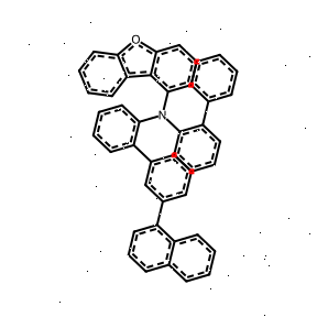 c1ccc(-c2ccccc2N(c2ccccc2-c2cccc(-c3cccc4ccccc34)c2)c2cccc3oc4ccccc4c23)cc1